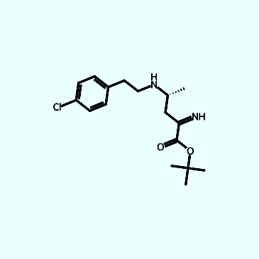 C[C@H](CC(=N)C(=O)OC(C)(C)C)NCCc1ccc(Cl)cc1